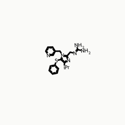 CC(C)c1nc(CN=C(N)N)n(Cc2cccnc2)c1Sc1ccccc1